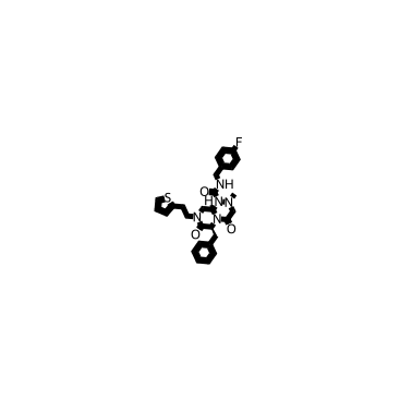 CN1CC(=O)N2[C@@H](Cc3ccccc3)C(=O)N(CCc3cccs3)C[C@@H]2N1C(=O)NCc1ccc(F)cc1